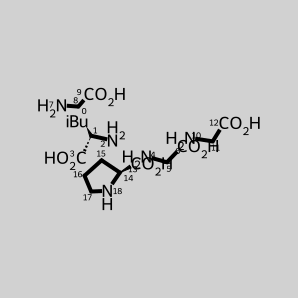 CC[C@H](C)[C@H](N)C(=O)O.NCC(=O)O.NCC(=O)O.NCC(=O)O.O=C(O)[C@@H]1CCCN1